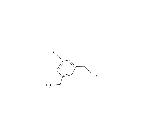 CCc1[c]c(Br)cc(CC)c1